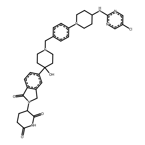 O=C1CCC(N2Cc3cc(C4(O)CCN(Cc5ccc(N6CCC(Nc7ncc(Cl)cn7)CC6)cc5)CC4)ccc3C2=O)C(=O)N1